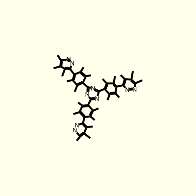 Cc1nnc(-c2c(C)c(C)c(-c3nc(-c4c(C)c(C)c(-c5nnc(C)c(C)c5C)c(C)c4C)nc(-c4c(C)c(C)c(-c5nnc(C)c(C)c5C)c(C)c4C)n3)c(C)c2C)c(C)c1C